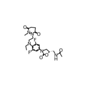 CCN(CCN1C(=O)CCC(=O)N1C)c1c(F)cc(N2C[C@H](CNC(C)=O)OC2=O)cc1F